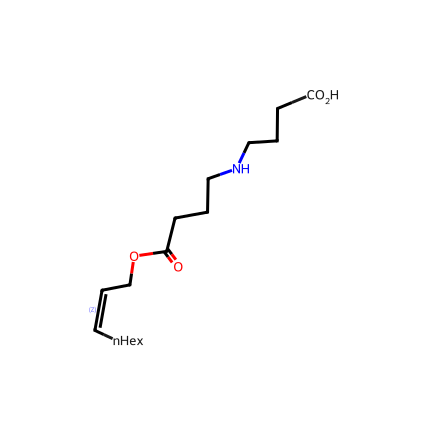 CCCCCC/C=C\COC(=O)CCCNCCCC(=O)O